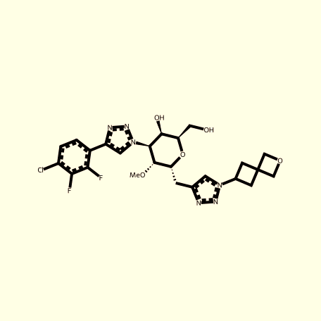 CO[C@@H]1[C@@H](n2cc(-c3ccc(Cl)c(F)c3F)nn2)[C@@H](O)[C@@H](CO)O[C@@H]1Cc1cn(C2CC3(COC3)C2)nn1